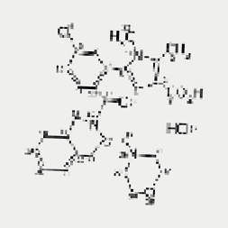 Cc1c(C(=O)O)cc(-c2cc(Cl)ccc2C(=O)N2Cc3ccccc3C[C@H]2CN2CCOCC2)n1C.Cl